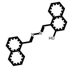 Oc1ccc2ccccc2c1C=NN=Cc1cccc2ccccc12